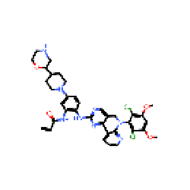 C=CC(=O)Nc1cc(N2CCC(C3CNCCO3)CC2)ccc1Nc1ncc2c(n1)-c1cccnc1N(c1c(Cl)c(OC)cc(OC)c1Cl)C2